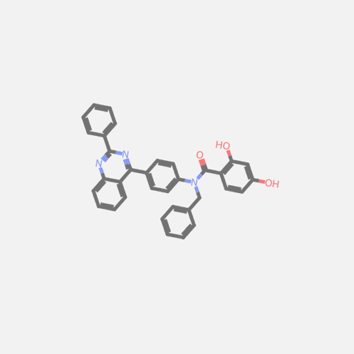 O=C(c1ccc(O)cc1O)N(Cc1ccccc1)c1ccc(-c2nc(-c3ccccc3)nc3ccccc23)cc1